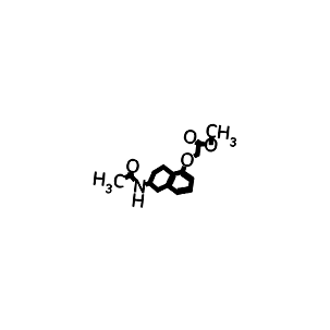 COC(=O)COc1cccc2c1CCC(NC(C)=O)C2